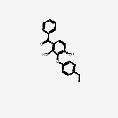 CCc1ccc(Oc2c(O)ccc(C(=O)c3ccccc3)c2O)cc1